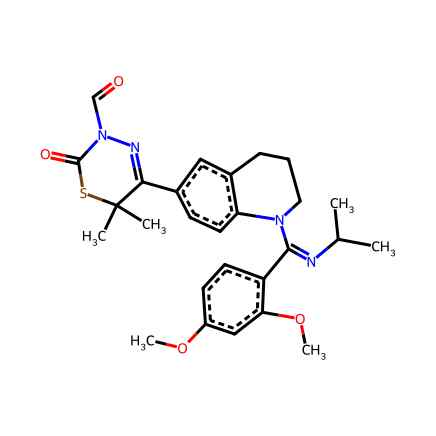 COc1ccc(/C(=N/C(C)C)N2CCCc3cc(C4=NN(C=O)C(=O)SC4(C)C)ccc32)c(OC)c1